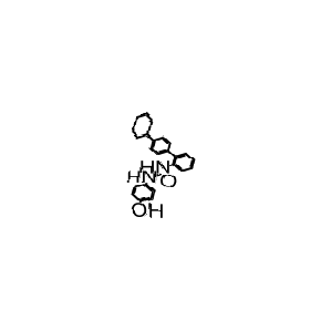 O=C(Nc1ccc(O)cc1)Nc1ccccc1-c1ccc(C2CCCCC2)cc1